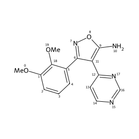 COc1cccc(-c2noc(N)c2-c2ccncn2)c1OC